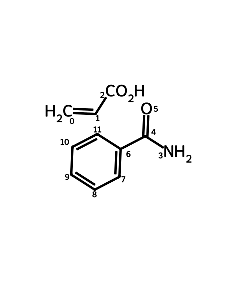 C=CC(=O)O.NC(=O)c1ccccc1